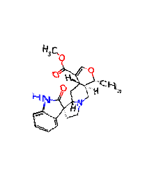 COC(=O)C1=CO[C@H](C)[C@H]2CN3CC[C@]4(C(=O)Nc5ccccc54)[C@@H]3C[C@H]12